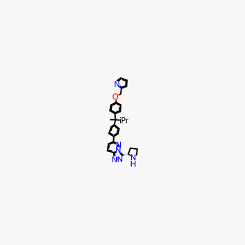 CC(C)C(C)(c1ccc(OCc2ccccn2)cc1)c1ccc(-c2ccc3nnc([C@@H]4CCCN4)n3n2)cc1